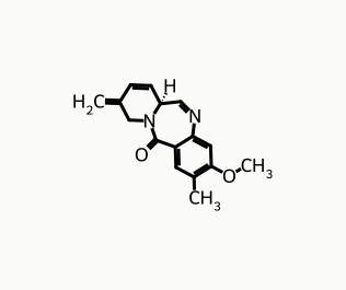 C=C1C=C[C@H]2C=Nc3cc(OC)c(C)cc3C(=O)N2C1